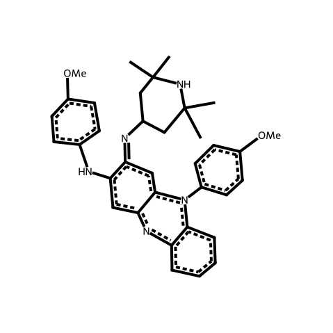 COc1ccc(Nc2cc3nc4ccccc4n(-c4ccc(OC)cc4)c-3cc2=NC2CC(C)(C)NC(C)(C)C2)cc1